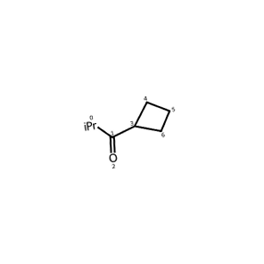 CC(C)C(=O)C1CCC1